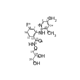 Bc1cnc(Nc2cc(F)ccc2C(=O)NOCC(O)CO)c(C)c1